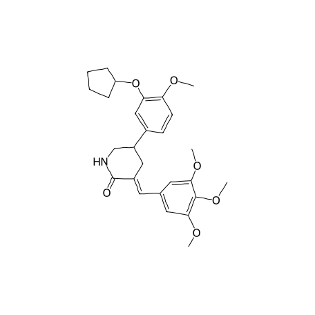 COc1ccc(C2CNC(=O)C(=Cc3cc(OC)c(OC)c(OC)c3)C2)cc1OC1CCCC1